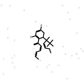 C=C(/C=C\C=C/C)C1=C(F)C=C(F)CC1C(C)(C=CCC)C(C)(C)C